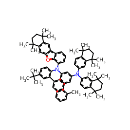 Cc1ccccc1-c1cc(N(c2ccc3c(c2)C(C)(C)CCC3(C)C)c2ccc3c(c2)C(C)(C)CCC3(C)C)cc(N(c2ccc(C(C)(C)C)cc2-c2ccccc2)c2cccc3c2oc2cc4c(cc23)C(C)(C)CCC4(C)C)c1